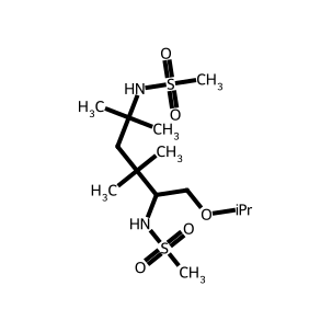 CC(C)OCC(NS(C)(=O)=O)C(C)(C)CC(C)(C)NS(C)(=O)=O